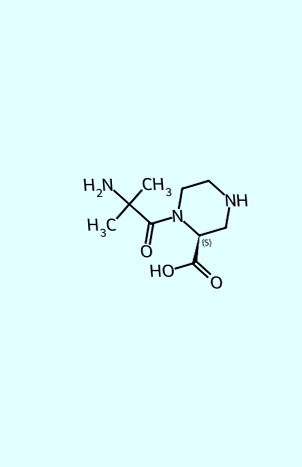 CC(C)(N)C(=O)N1CCNC[C@H]1C(=O)O